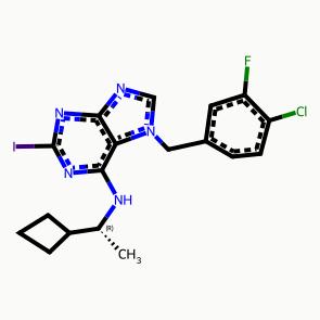 C[C@@H](Nc1nc(I)nc2ncn(Cc3ccc(Cl)c(F)c3)c12)C1CCC1